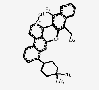 Cc1c2c(c(CC(C)(C)C)c3ccccc13)Oc1cc3c(C4CCC(C)(C)CC4)cccc3c3cc[n+](C)c-2c13